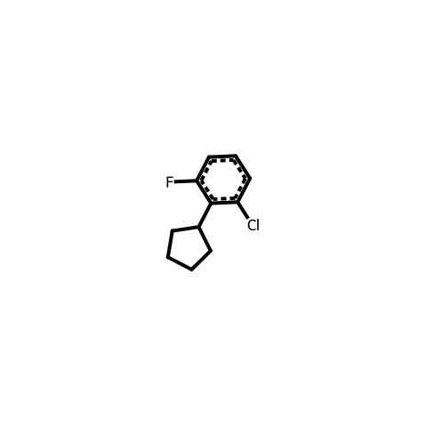 Fc1cccc(Cl)c1C1CCCC1